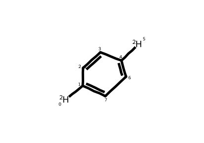 [2H]c1[c]cc([2H])cc1